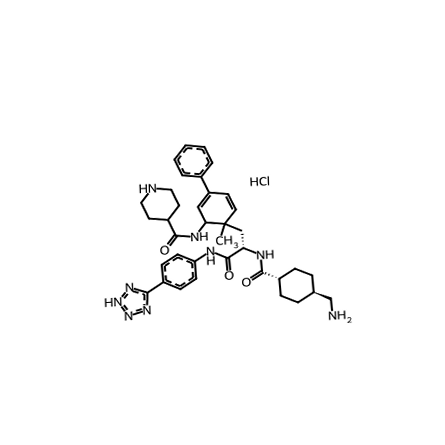 CC1(C[C@H](NC(=O)[C@H]2CC[C@H](CN)CC2)C(=O)Nc2ccc(-c3nn[nH]n3)cc2)C=CC(c2ccccc2)=CC1NC(=O)C1CCNCC1.Cl